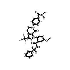 COc1ccc(-n2nc(C(F)(F)F)c3c2C(=O)N(c2ccc(C(=O)N(C)C)cc2)CC3)c(C(=O)NC(C)(C)c2ccccc2)c1